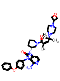 CC(C)(/C=C(/C#N)C(=O)N1CCC[C@@H](n2c(=O)n(-c3ccc(Oc4ccccc4)cc3)c3c(N)nccc32)C1)N1CCN(C2COC2)CC1